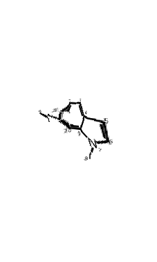 C[n+]1ccc2ccn(I)c2c1